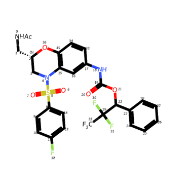 CC(=O)NC[C@H]1CN(S(=O)(=O)c2ccc(F)cc2)c2cc(NC(=O)OC(c3ccccc3)C(F)(F)C(F)(F)F)ccc2O1